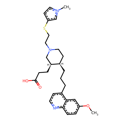 COc1ccc2nccc(CCC[C@@H]3CCN(CCSc4ccn(C)c4)C[C@@H]3CCC(=O)O)c2c1